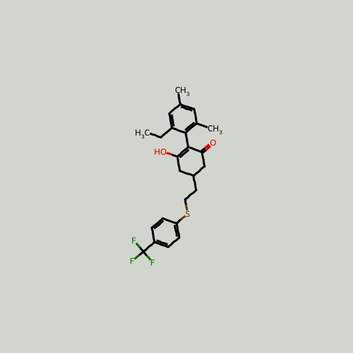 CCc1cc(C)cc(C)c1C1=C(O)CC(CCSc2ccc(C(F)(F)F)cc2)CC1=O